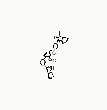 O=C(Cc1ccc(-c2cccc(-c3cc4ccncc4[nH]3)c2)c(O)c1)N1CCC(n2c(=O)[nH]c3ccccc32)CC1